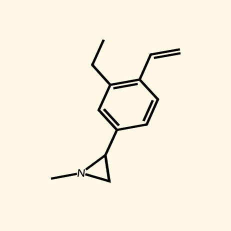 C=Cc1ccc(C2CN2C)cc1CC